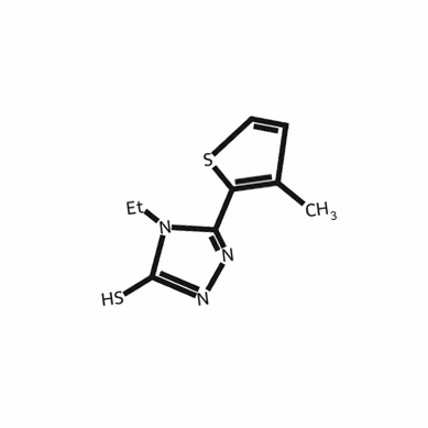 CCn1c(S)nnc1-c1sccc1C